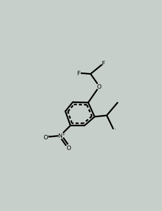 [CH2]C(C)c1cc([N+](=O)[O-])ccc1OC(F)F